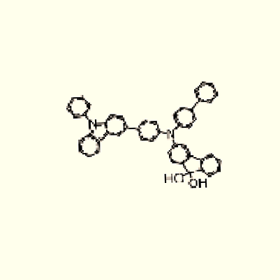 OC1(O)c2ccccc2-c2cc(N(c3ccc(-c4ccccc4)cc3)c3ccc(-c4ccc5c(c4)c4ccccc4n5-c4ccccc4)cc3)ccc21